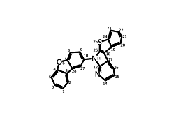 c1ccc2c(c1)oc1ccc(-n3c4ncccc4c4c5ccccc5sc43)cc12